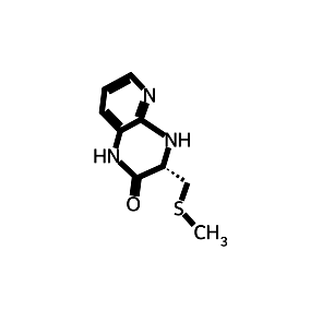 CSC[C@H]1Nc2ncccc2NC1=O